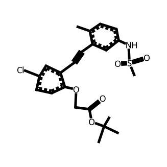 Cc1ccc(NS(C)(=O)=O)cc1C#Cc1cc(Cl)ccc1OCC(=O)OC(C)(C)C